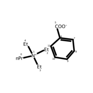 CCC[N+](CC)(CC)CC.O=C([O-])c1ccccc1